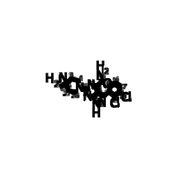 CC1(N)CCN(c2nc(C(N)=O)c3c(-c4cccc(Cl)c4Cl)n[nH]c3n2)CC1